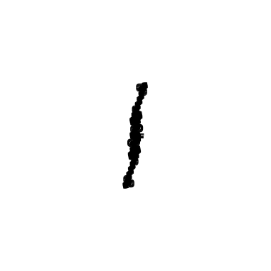 C=CC(=O)OCCCCCCOc1ccc2cc(C(=O)Oc3ccc(OC(=O)c4ccc5cc(OCCCCCCOC(=O)C=C)ccc5c4)c(F)c3)ccc2c1